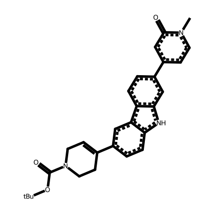 Cn1ccc(-c2ccc3c(c2)[nH]c2ccc(C4=CCN(C(=O)OC(C)(C)C)CC4)cc23)cc1=O